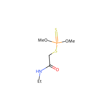 CCNC(=O)CSP(=S)(OC)OC